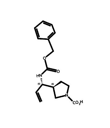 C=C[C@H](NC(=O)OCc1ccccc1)[C@H]1CCN(C(=O)O)C1